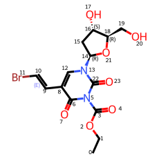 CCOC(=O)n1c(=O)c(/C=C/Br)cn([C@H]2C[C@H](O)[C@@H](CO)O2)c1=O